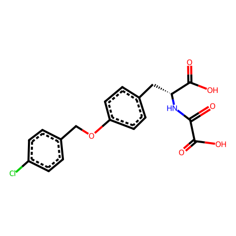 O=C(O)C(=O)N[C@H](Cc1ccc(OCc2ccc(Cl)cc2)cc1)C(=O)O